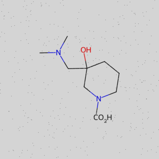 CN(C)CC1(O)CCCN(C(=O)O)C1